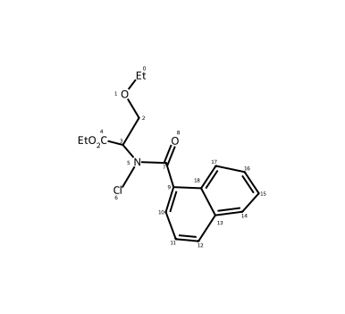 CCOCC(C(=O)OCC)N(Cl)C(=O)c1cccc2ccccc12